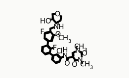 COc1cc(-c2cccc(-c3cccc(NC(=O)C4=CN(C)C5OC5N(C)C4=O)c3Cl)c2F)cc(F)c1CN[C@@H]1CCOC[C@@H]1O